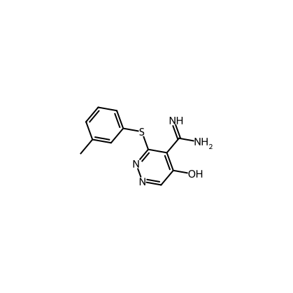 Cc1cccc(Sc2nncc(O)c2C(=N)N)c1